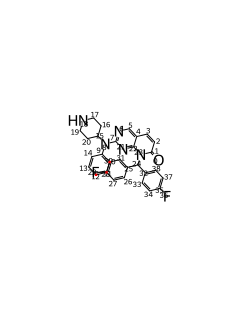 O=c1ccc2cnc(N(c3ccccc3)C3CCNCC3)nc2n1C(c1ccc(F)cc1)c1ccc(F)cc1